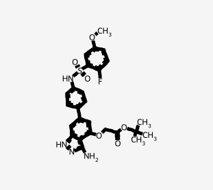 COc1ccc(F)c(S(=O)(=O)Nc2ccc(-c3cc(OCC(=O)OC(C)(C)C)c4c(N)n[nH]c4c3)cc2)c1